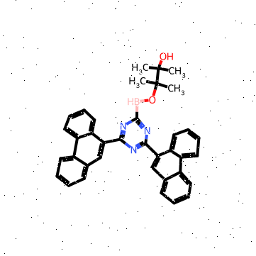 CC(C)(O)C(C)(C)OBc1nc(-c2cc3ccccc3c3ccccc23)nc(-c2cc3ccccc3c3ccccc23)n1